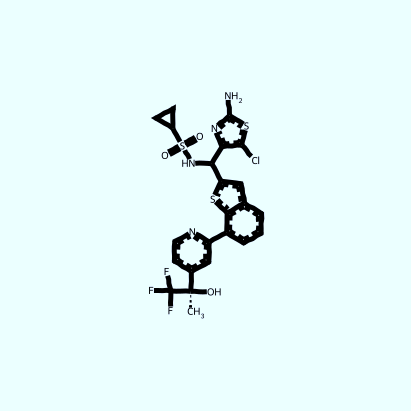 C[C@@](O)(c1ccnc(-c2cccc3cc(C(NS(=O)(=O)C4CC4)c4nc(N)sc4Cl)sc23)c1)C(F)(F)F